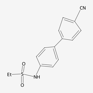 CCS(=O)(=O)Nc1ccc(-c2ccc(C#N)cc2)cc1